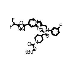 CC(C)(C)OC(=O)N1CCC(S(=O)(=O)N(Cc2cn3ccc(-c4nnc(C(F)F)o4)cc3n2)c2cccc(F)c2)CC1